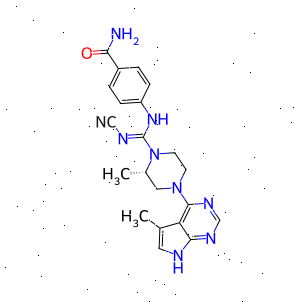 Cc1c[nH]c2ncnc(N3CCN(C(=NC#N)Nc4ccc(C(N)=O)cc4)[C@@H](C)C3)c12